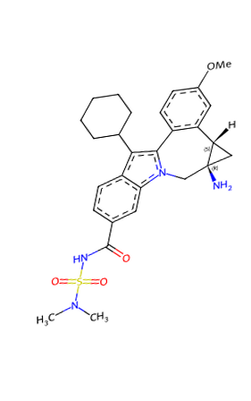 COc1ccc2c(c1)[C@@H]1C[C@]1(N)Cn1c-2c(C2CCCCC2)c2ccc(C(=O)NS(=O)(=O)N(C)C)cc21